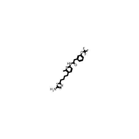 Cc1nc(NC(=O)Cc2cccc(OC(F)(F)F)c2)ccc1CCCCc1nnc(N)s1